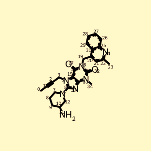 CC#CCn1c(N2CCCC(N)C2)nc2c1c(=O)n(Cc1cc(C)nc3ccccc13)c(=O)n2C